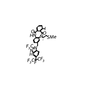 CSC[C@H](C)N1C(=O)c2c(I)cccc2C(=O)Nc2ccc(CN3c4ccc(C(F)(C(F)(F)F)C(F)(F)F)cc4NC3C(F)(F)F)cc21